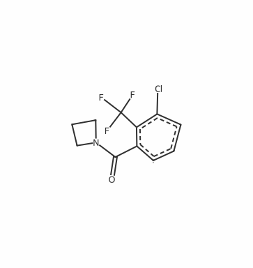 O=C(c1[c]ccc(Cl)c1C(F)(F)F)N1CCC1